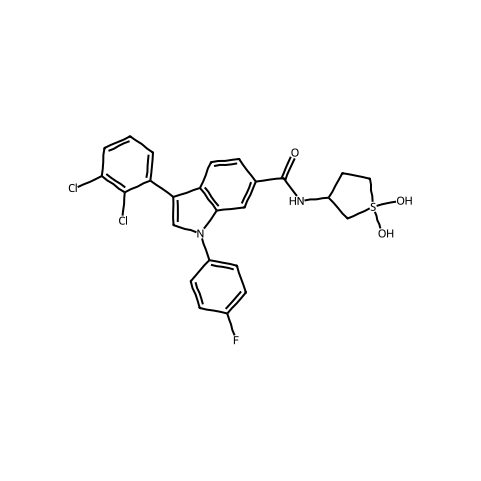 O=C(NC1CCS(O)(O)C1)c1ccc2c(-c3cccc(Cl)c3Cl)cn(-c3ccc(F)cc3)c2c1